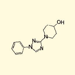 OC1CCN(c2ncn(-c3ccccc3)n2)CC1